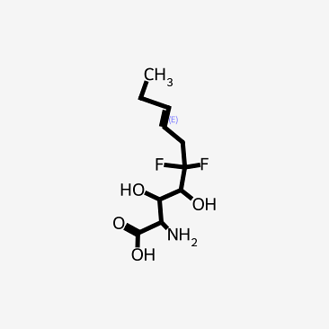 CC/C=C/CC(F)(F)C(O)C(O)C(N)C(=O)O